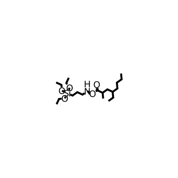 CCCCC(CC)CC(C)C(=O)ONCCC[Si](OCC)(OCC)OCC